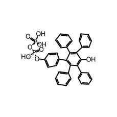 O=P(O)(O)OP(=O)(O)Oc1ccc(-c2c(-c3ccccc3)c(-c3ccccc3)c(O)c(-c3ccccc3)c2-c2ccccc2)cc1